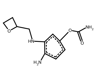 NC(=O)Oc1ccc(N)c(NCC2CCO2)c1